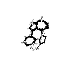 N[C@H]1CCN(c2ccnc3[nH]cc(-c4cncnc4)c23)C1